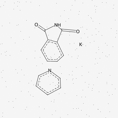 O=C1NC(=O)c2ccccc21.[K].c1ccncc1